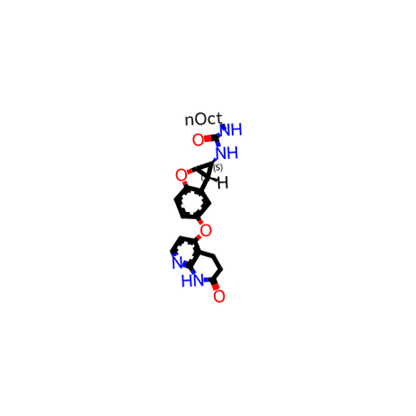 CCCCCCCCNC(=O)N[C@@H]1C2Oc3ccc(Oc4ccnc5c4CCC(=O)N5)cc3[C@H]21